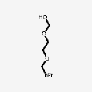 CCCCOCCOCO